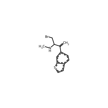 C=C(c1ccc2ccsc2c1)C(CBr)NC